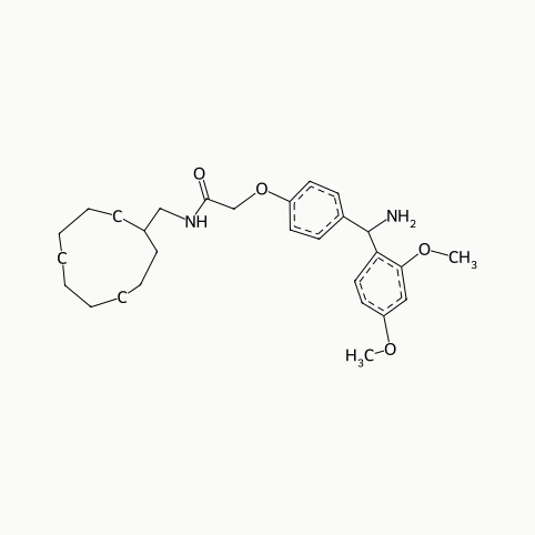 COc1ccc(C(N)c2ccc(OCC(=O)NCC3CCCCCCCCC3)cc2)c(OC)c1